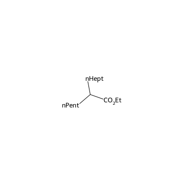 CCCCCCCC(CCCCC)C(=O)OCC